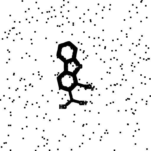 O=[N+]([O-])c1c(B(O)O)ccc2c1oc1ccccc12